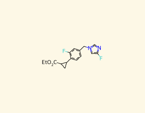 CCOC(=O)C1CC1c1ccc(Cn2cnc(F)c2)cc1F